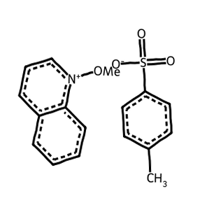 CO[n+]1cccc2ccccc21.Cc1ccc(S(=O)(=O)[O-])cc1